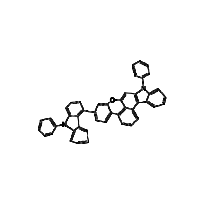 c1ccc(-n2c3ccccc3c3c(-c4ccc5c(c4)Oc4cc6c(c7cccc-5c47)c4ccccc4n6-c4ccccc4)cccc32)cc1